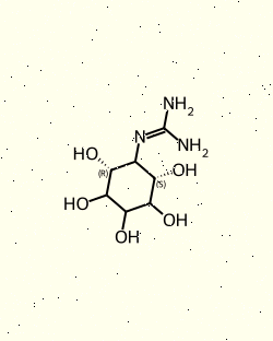 NC(N)=NC1[C@H](O)C(O)C(O)C(O)[C@@H]1O